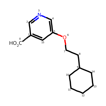 O=C(O)c1cncc(OCCC2CCCCC2)c1